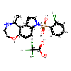 CC1NCCOc2ccc3c(ccn3S(=O)(=O)c3ccccc3Cl)c21.O=C(O)C(F)(F)F